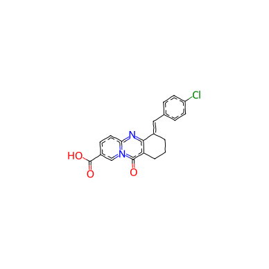 O=C(O)c1ccc2nc3c(c(=O)n2c1)CCCC3=Cc1ccc(Cl)cc1